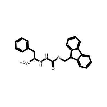 O=C(NNC(Cc1ccccc1)C(=O)O)OCC1c2ccccc2-c2ccccc21